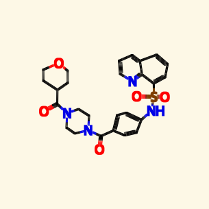 O=C(c1ccc(NS(=O)(=O)c2cccc3cccnc23)cc1)N1CCN(C(=O)C2CCOCC2)CC1